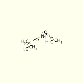 CCCC(C)(CC)CCCOCCN1CCO[C@H](CNCC(C)C)C1